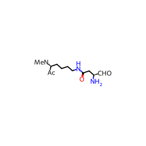 CN[C@@H](CCCCNC(=O)C[C@H](N)C=O)C(C)=O